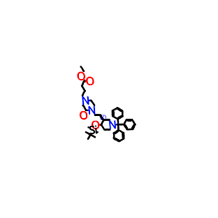 CCOC(=O)CCCN1CCN(C/C=C2/CN(C(c3ccccc3)(c3ccccc3)c3ccccc3)CCC2O[Si](C)(C)C(C)(C)C)C(=O)C1